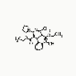 CCOC(=O)C1=C(N2CCCC2)N=C(C)C(C(=O)OCC)C1c1ccccc1OC